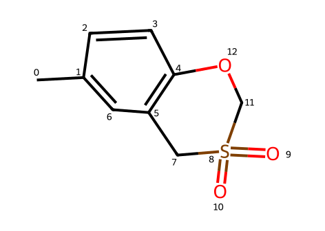 Cc1ccc2c(c1)CS(=O)(=O)CO2